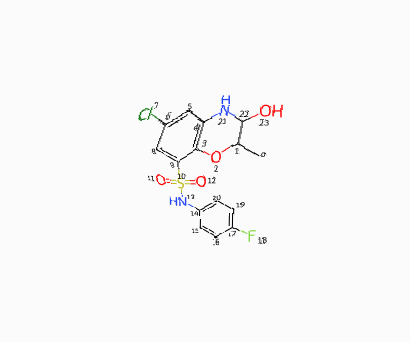 CC1Oc2c(cc(Cl)cc2S(=O)(=O)Nc2ccc(F)cc2)NC1O